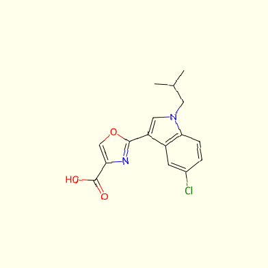 CC(C)Cn1cc(-c2nc(C(=O)O)co2)c2cc(Cl)ccc21